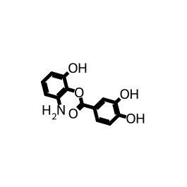 Nc1cccc(O)c1OC(=O)c1ccc(O)c(O)c1